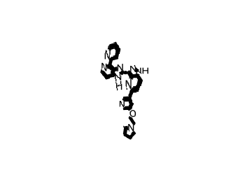 c1ccc(-c2nccc3[nH]c(-c4n[nH]c5ccc(-c6cncc(OCCN7CCCC7)c6)nc45)nc23)nc1